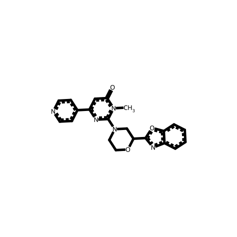 Cn1c(N2CCOC(c3nc4ccccc4o3)C2)nc(-c2ccncc2)cc1=O